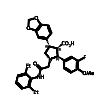 CCc1cccc(CC)c1NC(=O)CN1C[C@H](c2ccc3c(c2)OCO3)[C@H](C(=O)O)[C@H]1c1ccc(OC)c(F)c1